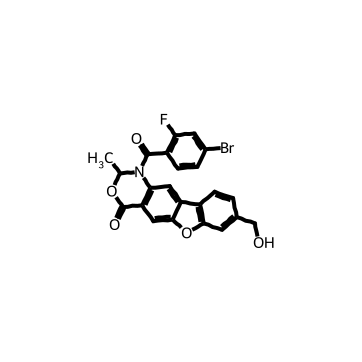 CC1OC(=O)c2cc3oc4cc(CO)ccc4c3cc2N1C(=O)c1ccc(Br)cc1F